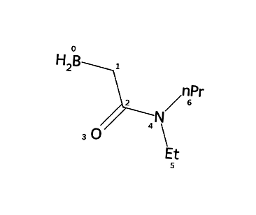 BCC(=O)N(CC)CCC